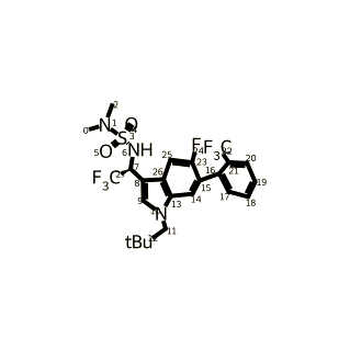 CN(C)S(=O)(=O)N[C@@H](c1cn(CC(C)(C)C)c2cc(-c3ccccc3C(F)(F)F)c(F)cc12)C(F)(F)F